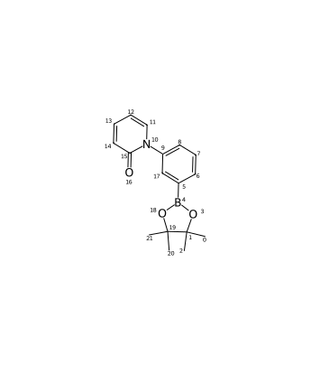 CC1(C)OB(c2cccc(-n3ccccc3=O)c2)OC1(C)C